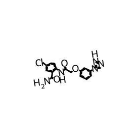 NC(=O)c1cc(Cl)ccc1NC(=O)COc1cccc(-n2cn[nH]2)c1